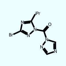 CC(C)c1nc(Br)nn1C(=O)n1cncn1